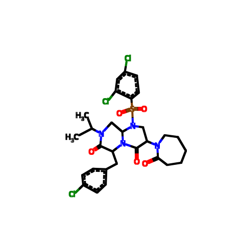 CC(C)N1CC2N(C(=O)C(N3CCCCCC3=O)CN2S(=O)(=O)c2ccc(Cl)cc2Cl)C(Cc2ccc(Cl)cc2)C1=O